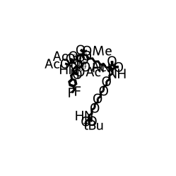 COC(=O)[C@@]1(OCCCCCCNc2c(NCCOCCOCCOCCOCCNC(=O)OC(C)(C)C)c(=O)c2=O)C[C@H](OC(C)=O)[C@@H](NC(=O)COC(C)=O)[C@H]([C@H](OC(C)=O)[C@@H](CNC(=O)Cc2ccc(C(F)F)cc2)OC(C)=O)O1